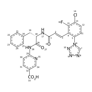 O=C(/C=C/c1c(-n2cnnn2)ccc(Cl)c1F)N[C@@H](Cc1ccccc1)C(=O)Nc1ccc(C(=O)O)cn1